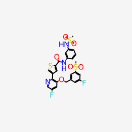 CS(=O)(=O)Nc1cccc(NC(=O)c2cc(-c3ncc(F)cc3OCc3cc(F)cc(S(C)(=O)=O)c3)cs2)c1